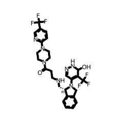 O=C(CCNC[C@H]1c2ccccc2CN1C1=C(C(F)(F)F)C(O)NN=C1)N1CCN(c2ccc(C(F)(F)F)cn2)CC1